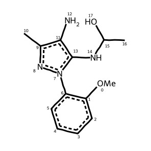 COc1ccccc1-n1nc(C)c(N)c1NC(C)O